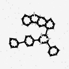 c1ccc(-c2ccc(-c3nc(-c4ccccc4)nc(-c4cccc5cc6sc7ccccc7c6cc45)n3)cc2)cc1